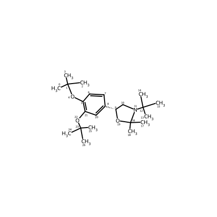 CC(C)(C)Oc1ccc([C@@H]2CN(C(C)(C)C)C(C)(C)O2)cc1OC(C)(C)C